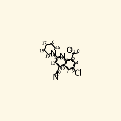 CC(=O)c1cc(Cl)cc2c(C#N)cc(N3CCCCC3)nc12